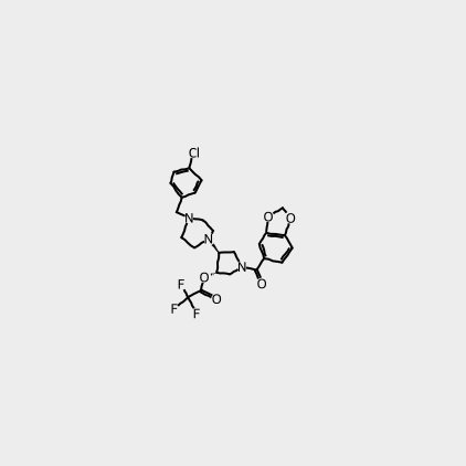 O=C(c1ccc2c(c1)OCO2)N1C[C@H](OC(=O)C(F)(F)F)[C@@H](N2CCN(Cc3ccc(Cl)cc3)CC2)C1